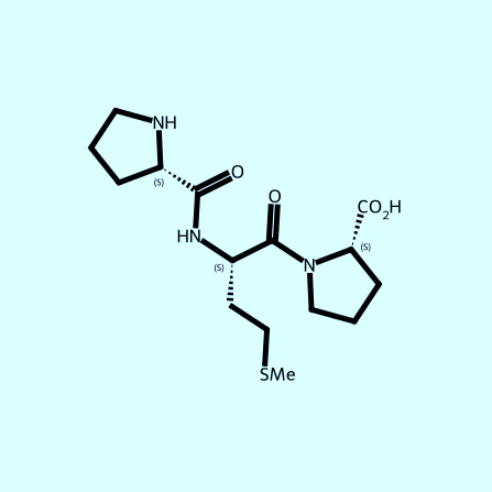 CSCC[C@H](NC(=O)[C@@H]1CCCN1)C(=O)N1CCC[C@H]1C(=O)O